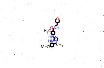 C=C(c1ccc(OC)c(F)c1)n1ccnc(Nc2ccc(C(=O)NCCC3CCOCC3)c(C)c2)c1=N